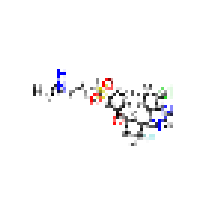 CNCCCCS(=O)(=O)c1cccc(Oc2ccc(F)c(-c3ncnc4c(Cl)cccc34)c2)c1